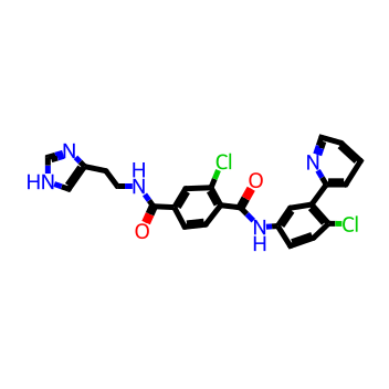 O=C(NCCc1c[nH]cn1)c1ccc(C(=O)Nc2ccc(Cl)c(-c3ccccn3)c2)c(Cl)c1